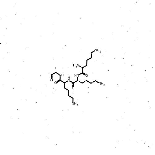 C[C@@H]([C]=O)NC(=O)[C@H](CCCCN)NC(=O)[C@H](CCCCN)NC(=O)[C@@H](N)CCCCN